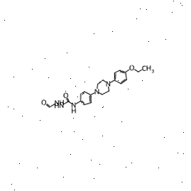 CCOc1ccc(N2CCN(c3ccc(NC(=O)NNC=O)cc3)CC2)cc1